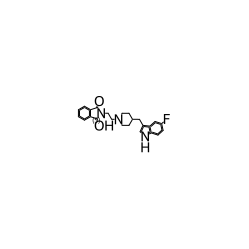 O=C1c2ccccc2[C@H](O)N1CCN1CCC(Cc2c[nH]c3ccc(F)cc23)CC1